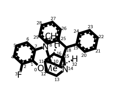 COc1c(F)cccc1N(C)[C@@H]1C2CCN(CC2)[C@@H]1C(c1ccccc1)c1ccccc1